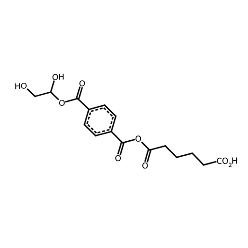 O=C(O)CCCCC(=O)OC(=O)c1ccc(C(=O)OC(O)CO)cc1